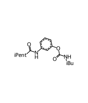 CCCC(C)C(=O)Nc1cccc(OC(=O)NC(C)CC)c1